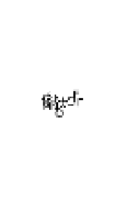 [CH2]C1C(=O)NC(c2nccs2)=NC1(C)c1ccc(F)c(F)c1